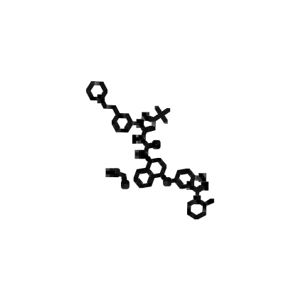 C[C@H]1CCCCN1c1nnc2ccc(O[C@@H]3CC[C@H](NC(=O)Nc4cc(C(C)(C)C)nn4-c4cccc(CCN5CCCCC5)c4)c4ccccc43)cn12.O=CO